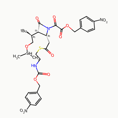 C[SiH](C)OC[C@H]([C@@H]1C(=O)N(C(=O)C(=O)OCc2ccc([N+](=O)[O-])cc2)[C@@H]1CC(=O)SCCNC(=O)OCc1ccc([N+](=O)[O-])cc1)C(C)(C)C